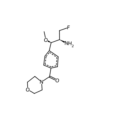 CO[C@H](c1ccc(C(=O)N2CCOCC2)cc1)[C@H](N)CF